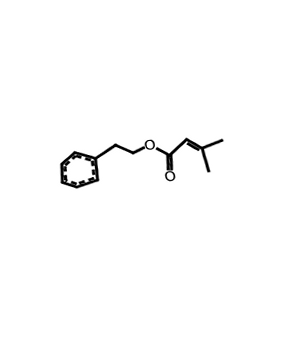 CC(C)=CC(=O)OCCc1ccccc1